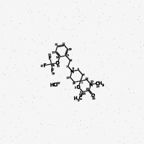 C[C@H]1OC2(CCN(CCc3ccccc3OC(F)(F)F)CC2)CN(C)C1=O.Cl